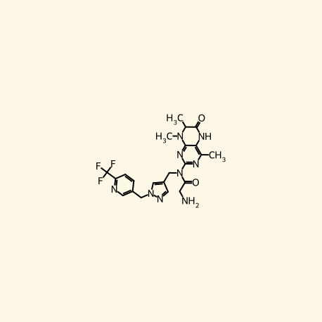 Cc1nc(N(Cc2cnn(Cc3ccc(C(F)(F)F)nc3)c2)C(=O)CN)nc2c1NC(=O)C(C)N2C